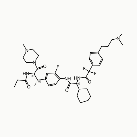 CCC(=O)N[C@@H](C(=O)N1CCN(C)CC1)[C@@H](C)c1ccc(NC(=O)[C@@H](NC(=O)C(F)(F)c2ccc(CCCN(C)C)cc2)C2CCCCC2)c(F)c1